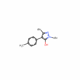 CCCCn1nc(C(C)(C)C)c(-c2ccc(C)cc2)c1O